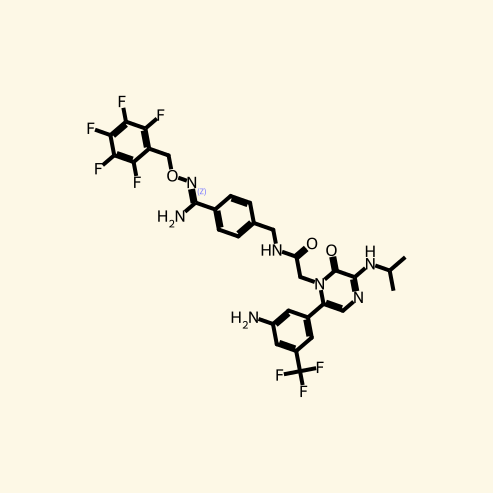 CC(C)Nc1ncc(-c2cc(N)cc(C(F)(F)F)c2)n(CC(=O)NCc2ccc(/C(N)=N/OCc3c(F)c(F)c(F)c(F)c3F)cc2)c1=O